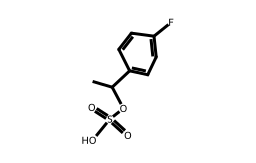 CC(OS(=O)(=O)O)c1ccc(F)cc1